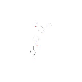 NC(=O)c1cc(N2CCCC2)ncc1OC1CCN(C(=O)Cc2ccc(O)cc2)CC1